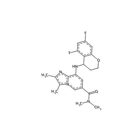 Cc1nc2c(NC3CCOc4cc(F)cc(F)c43)cc(C(=O)N(C)C)cn2c1C